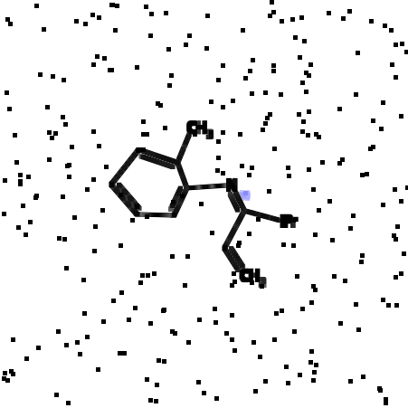 C=C/C(=N\c1ccccc1C)C(C)C